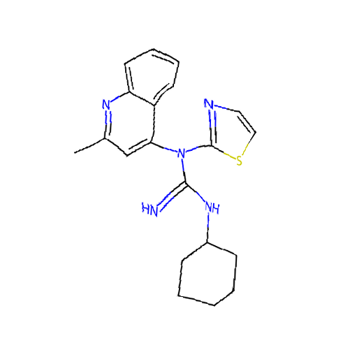 Cc1cc(N(C(=N)NC2CCCCC2)c2nccs2)c2ccccc2n1